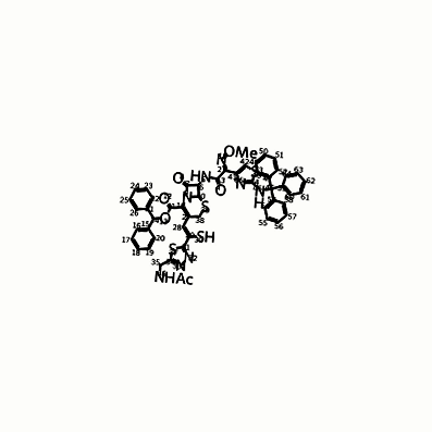 CON=C(C(=O)NC1C(=O)N2C(C(=O)OC(c3ccccc3)c3ccccc3)=C(C=C(S)c3nnc(CNC(C)=O)s3)CSC12)c1csc(NC(c2ccccc2)(c2ccccc2)c2ccccc2)n1